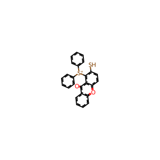 O=c1c2ccccc2oc2ccc(S)c([S+](c3ccccc3)c3ccccc3)c12